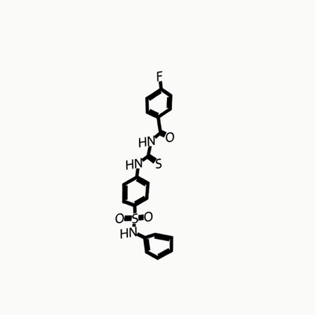 O=C(NC(=S)Nc1ccc(S(=O)(=O)Nc2ccccc2)cc1)c1ccc(F)cc1